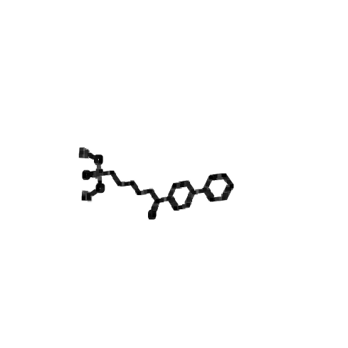 CCOP(=O)(CCCCCC(=O)c1ccc(-c2ccccc2)cc1)OCC